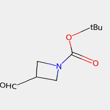 CC(C)(C)OC(=O)N1CC([C]=O)C1